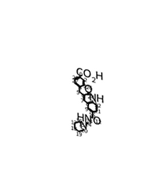 O=C(O)c1ccc(Cc2cc3cc(C(=O)NCN4CCCCC4)ccc3[nH]c2=O)cc1